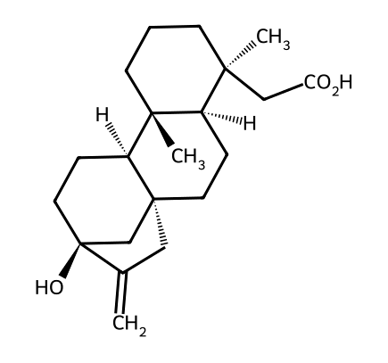 C=C1C[C@@]23CC[C@@H]4[C@](C)(CC(=O)O)CCC[C@@]4(C)[C@@H]2CC[C@]1(O)C3